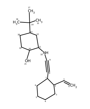 C=CC1CCCCC1C#CNC1CC(C(C)(C)C)CCC1O